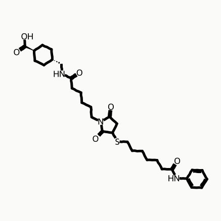 O=C(CCCCCN1C(=O)CC(SCCCCCCC(=O)Nc2ccccc2)C1=O)NC[C@H]1CC[C@H](C(=O)O)CC1